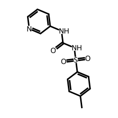 Cc1ccc(S(=O)(=O)NC(=O)Nc2cccnc2)cc1